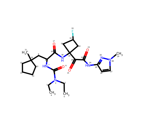 CCN(CC)C(=O)NC(CC1(C)CCCC1)C(=O)NC1(C(=O)C(=O)Nc2ccn(C)n2)CC(F)C1